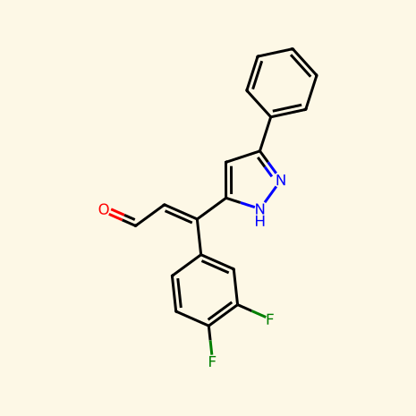 O=C/C=C(\c1ccc(F)c(F)c1)c1cc(-c2ccccc2)n[nH]1